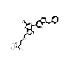 C[Si](C)(C)CCOCn1cnc2c(-c3cnc4c(ccn4Cc4ccccc4)c3)nc(Cl)nc21